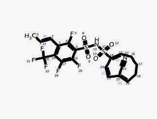 C/C=C/c1c(F)c(S(=O)(=O)NS(=O)(=O)C2=C/CCC/C=C(C#N)/C=C\2)c(F)c(F)c1C(F)(F)F